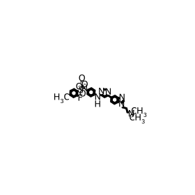 Cc1ccc(S(=O)(=O)N(OC=O)c2ccc(Nc3cc(-c4ccc5c(c4)ncn5CCCN(C)C)ncn3)cc2)c(F)c1